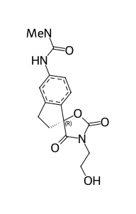 CNC(=O)Nc1ccc2c(c1)CC[C@@]21OC(=O)N(CCO)C1=O